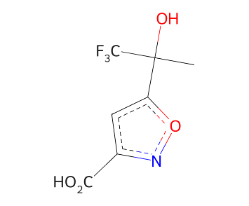 CC(O)(c1cc(C(=O)O)no1)C(F)(F)F